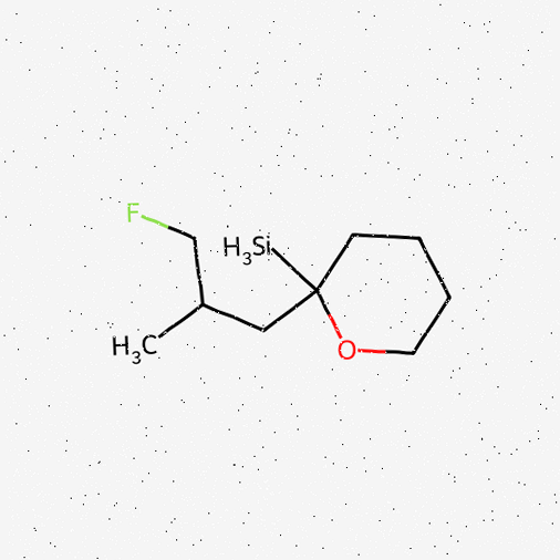 CC(CF)CC1([SiH3])CCCCO1